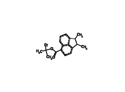 CCC(C)(C)OC(=O)c1ccc2c3c(cccc13)C(C)C2C